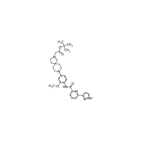 COc1cc(N2CCC3(CCN(CC(=O)OC(C)(C)C)C3)CC2)ccc1NC(=O)c1cccc(-c2cc[nH]n2)n1